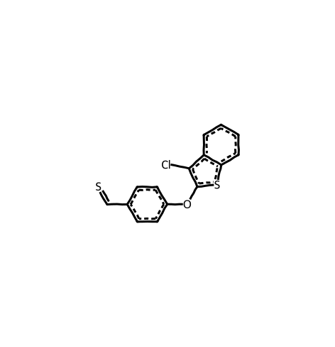 S=Cc1ccc(Oc2sc3ccccc3c2Cl)cc1